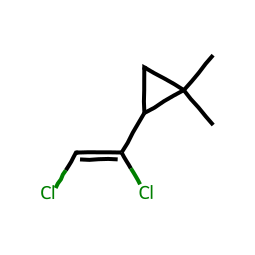 CC1(C)CC1C(Cl)=CCl